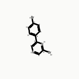 Brc1ccc(-c2cncc(Br)n2)cc1